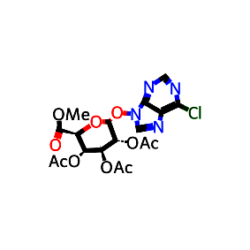 COC(=O)[C@H]1O[C@@H](On2cnc3c(Cl)ncnc32)[C@H](OC(C)=O)[C@@H](OC(C)=O)[C@@H]1OC(C)=O